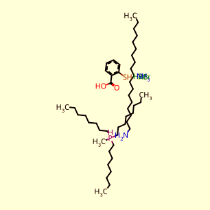 Br.Br.CCCCCCCCCCCCCCCCCCN.CCCCCCCC[PH](C)(CCCCCCCC)CCCCCCCC.N.O=C(O)c1ccccc1S